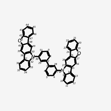 c1cc(-c2cccc(-n3c4ccccc4c4cc5oc6ccccc6c5cc43)c2)cc(-n2c3ccccc3c3cc4oc5ccccc5c4cc32)c1